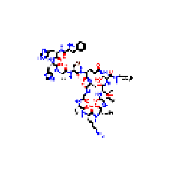 CC[C@H](C)[C@H](NC(=O)[C@H](Cc1c[nH]cn1)NC(=O)[C@H](Cc1c[nH]cn1)NC(=O)[C@@H](N)Cc1ccccc1)C(=O)N[C@@H](CS)C(=O)N[C@@H](CCC(N)=O)C(=O)N[C@@H](C)C(=O)NCC(=O)N[C@@H](CC(C)C)C(=O)N[C@@H](CCCCN)C(=O)N[C@@H](CC(C)C)C(=O)N[C@@H](CC(C)C)C(=O)N[C@H](C(=O)N[C@@H](CO)C(=O)NCC(=O)O)[C@@H](C)O